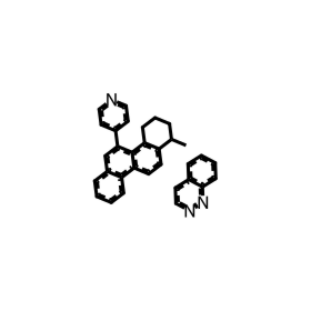 CC1CCCc2c1ccc1c2c(-c2ccncc2)cc2ccccc21.c1ccc2nnccc2c1